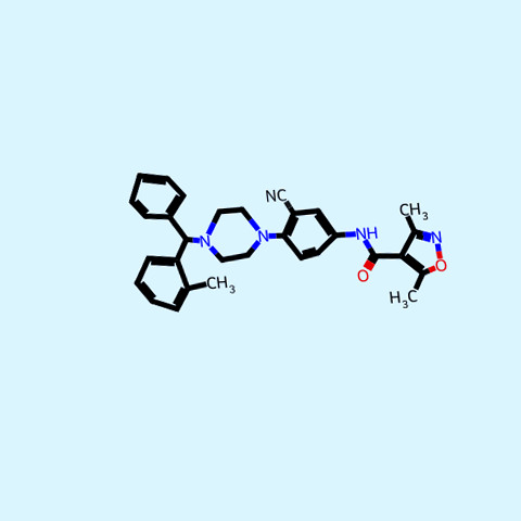 Cc1ccccc1C(c1ccccc1)N1CCN(c2ccc(NC(=O)c3c(C)noc3C)cc2C#N)CC1